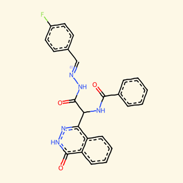 O=C(NC(C(=O)N/N=C/c1ccc(F)cc1)c1n[nH]c(=O)c2ccccc12)c1ccccc1